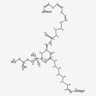 CCCCC/C=C\C/C=C\C/C=C\CCCCC(=O)OC[C@H](COP(=O)(O)OC[C@@H](O)CO)OC(=O)CCCCCCC/C=C\CCCCCCC